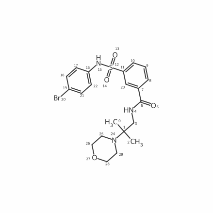 CC(C)(CNC(=O)c1cccc(S(=O)(=O)Nc2ccc(Br)cc2)c1)N1CCOCC1